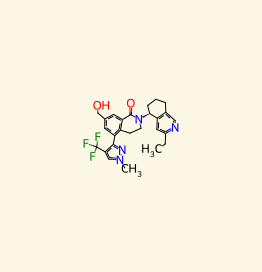 CCc1cc2c(cn1)CCC[C@@H]2N1CCc2c(cc(CO)cc2-c2nn(C)cc2C(F)(F)F)C1=O